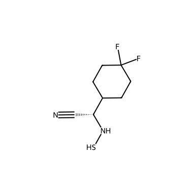 N#C[C@@H](NS)C1CCC(F)(F)CC1